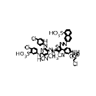 Cc1c(C#N)c(Nc2ccc(Cl)c(S(=O)(=O)O)c2)nc(Nc2ccc(Cl)cc2)c1N=Nc1sc(N=Nc2ccc3cccc(S(=O)(=O)O)c3c2)c(-c2ccc(NS(=O)(=O)CCCl)cc2)c1C#N